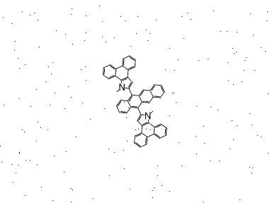 Cn1c(-c2c3ccccc3c(-c3cc4c5ccccc5c5ccccc5c4n3C)c3cc4ccccc4cc23)cc2c3ccccc3c3ccccc3c21